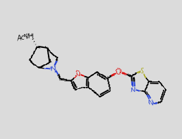 CC(=O)N[C@H]1CC2CC1CN2Cc1cc2ccc(Oc3nc4ncccc4s3)cc2o1